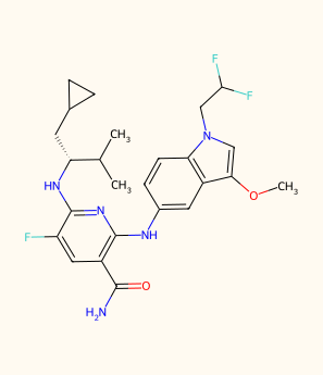 COc1cn(CC(F)F)c2ccc(Nc3nc(N[C@H](CC4CC4)C(C)C)c(F)cc3C(N)=O)cc12